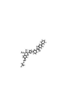 CC(=O)C(NC(=O)c1ccc(-c2cccc(NC(=O)c3ccc(-c4ccccc4)cc3)c2)o1)c1ccc(OCCCN(C)C)cc1